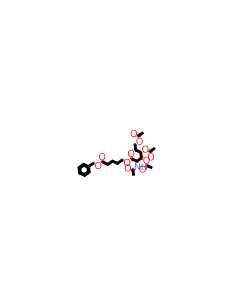 CC(=O)NC1C(OCCCCC(=O)OCc2ccccc2)OC(COC(C)=O)C(OC(C)=O)C1OC(C)=O